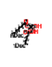 CCCCCCCCCCCCCCCCCC(=O)OCC(CO)(CO)COC(=O)CCCCCCCCCCCCCCC